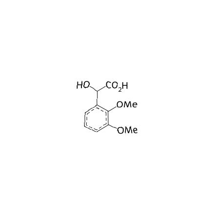 COc1cccc(C(O)C(=O)O)c1OC